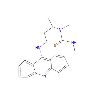 CNC(=S)N(C)C(C)CCNc1c2ccccc2nc2ccccc12